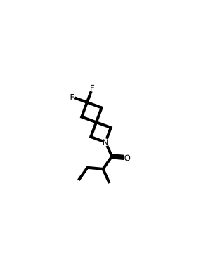 CCC(C)C(=O)N1CC2(C1)CC(F)(F)C2